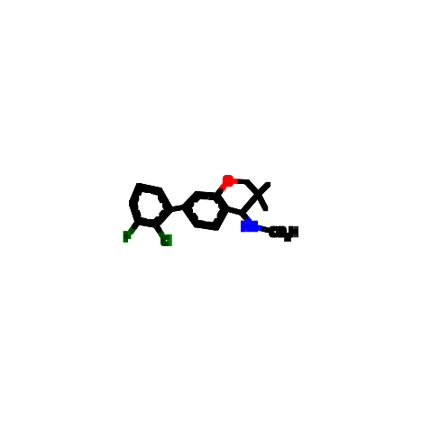 CC1(C)COc2cc(-c3cccc(F)c3Cl)ccc2C1NC(=O)O